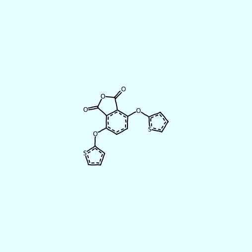 O=C1OC(=O)c2c(Oc3cccs3)ccc(Oc3cccs3)c21